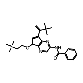 C=C(C1=CC(OCC[Si](C)(C)C)c2ncc(NC(=O)c3ccccc3)nc21)C(C)(C)C